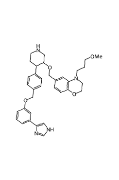 COCCCN1CCOc2ccc(COC3CNCCC3c3ccc(COc4cccc(-c5c[nH]cn5)c4)cc3)cc21